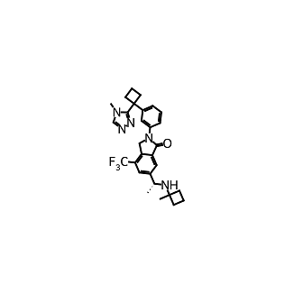 C[C@@H](NC1(C)CCC1)c1cc2c(c(C(F)(F)F)c1)CN(c1cccc(C3(c4nncn4C)CCC3)c1)C2=O